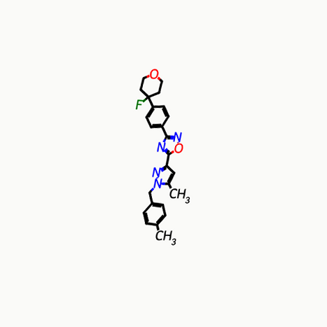 Cc1ccc(Cn2nc(-c3nc(-c4ccc(C5(F)CCOCC5)cc4)no3)cc2C)cc1